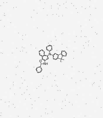 CC1(C)c2ccccc2-c2cc(N(c3ccccc3)c3cc4c(c5ccccc35)OC(c3ccccc3)N4)ccc21